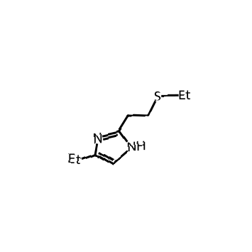 CCSCCc1nc(CC)c[nH]1